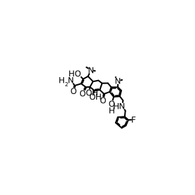 CN(C)c1cc(CNCc2ccccc2F)c(O)c2c1CC1CC3C(N(C)C)C(O)=C(C(N)=O)C(=O)C3(O)C(O)=C1C2=O